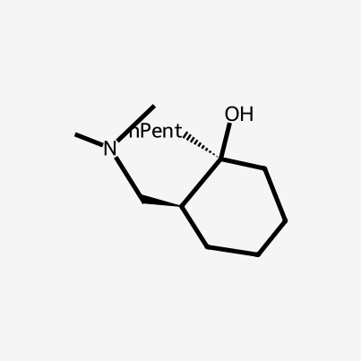 CCCCC[C@]1(O)CCCC[C@H]1CN(C)C